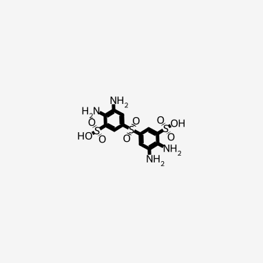 Nc1cc(S(=O)(=O)c2cc(N)c(N)c(S(=O)(=O)O)c2)cc(S(=O)(=O)O)c1N